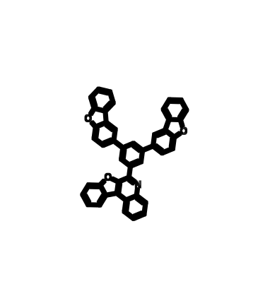 c1ccc2c(c1)nc(-c1cc(-c3ccc4oc5ccccc5c4c3)cc(-c3ccc4oc5ccccc5c4c3)c1)c1oc3ccccc3c12